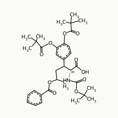 CC(CC(c1ccc(OC(=O)C(C)(C)C)c(OC(=O)C(C)(C)C)c1)[C@@H](NC(=O)OC(C)(C)C)C(=O)O)OC(=O)c1ccccc1